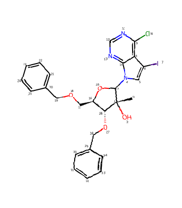 C[C@]1(O)C(n2cc(I)c3c(Cl)ncnc32)O[C@H](COCc2ccccc2)[C@H]1OCc1ccccc1